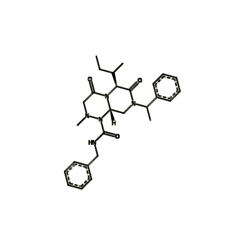 CCC(C)[C@H]1C(=O)N(C(C)c2ccccc2)C[C@H]2N1C(=O)CN(C)N2C(=O)NCc1ccccc1